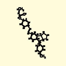 C=CC(=O)Oc1ccc(C=Cc2ccc3c(c2)C2CCCC2N3c2ccc(C)cc2)cc1